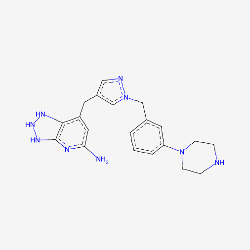 Nc1cc(Cc2cnn(Cc3cccc(N4CCNCC4)c3)c2)c2c(n1)NNN2